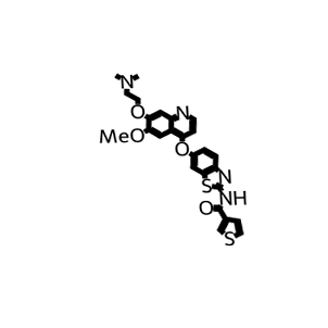 COc1cc2c(Oc3ccc4nc(NC(=O)c5ccsc5)sc4c3)ccnc2cc1OCCN(C)C